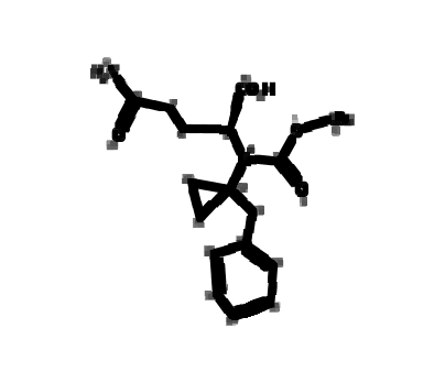 CC(C)(C)OC(=O)N([C@@H](CCC(N)=O)C(=O)O)C1(Cc2ccccc2)CC1